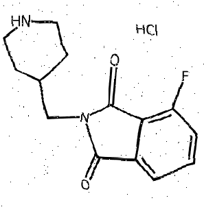 Cl.O=C1c2cccc(F)c2C(=O)N1CC1CCNCC1